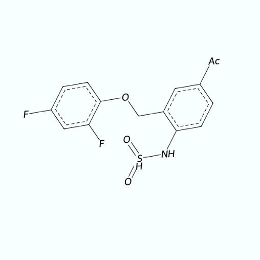 CC(=O)c1ccc(N[SH](=O)=O)c(COc2ccc(F)cc2F)c1